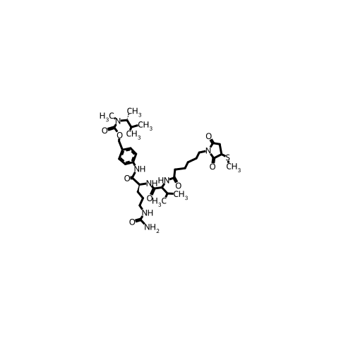 CSC1CC(=O)N(CCCCCC(=O)NC(C(=O)N[C@@H](CCCNC(N)=O)C(=O)Nc2ccc(COC(=O)N(C)[C@H](C)C(C)C)cc2)C(C)C)C1=O